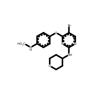 O=C(O)Nc1ccc(Sc2nc(NC3CCOCC3)ncc2Br)cc1